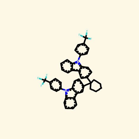 FC(F)(F)c1ccc(-n2c3ccccc3c3cc(C4(c5ccc6c(c5)c5ccccc5n6-c5ccc(C(F)(F)F)cc5)CCCCC4)ccc32)cc1